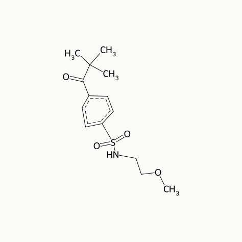 COCCNS(=O)(=O)c1ccc(C(=O)C(C)(C)C)cc1